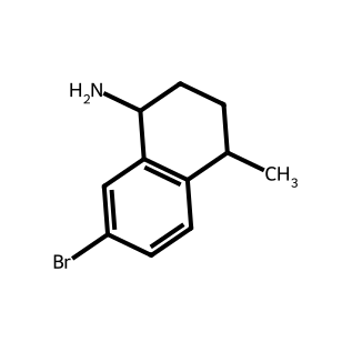 CC1CCC(N)c2cc(Br)ccc21